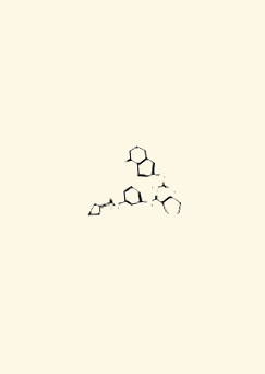 O=C1CCCc2cc(Nc3nc4c(c(Nc5cccc(NC(=O)C6CCC6)c5)n3)CSCC4)ccc21